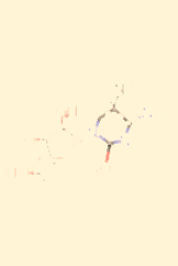 Nc1nc(=O)n([C@@H]2O[C@H](CO)C(O)C2O)cc1[N+](=O)[O-]